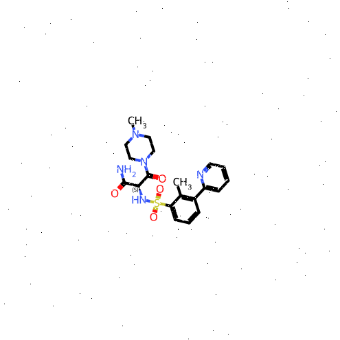 Cc1c(-c2ccccn2)cccc1S(=O)(=O)N[C@@H](C(N)=O)C(=O)N1CCN(C)CC1